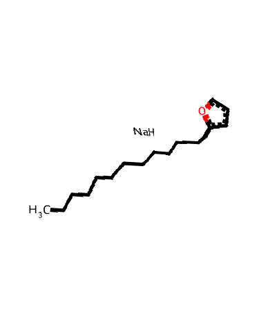 CCCCCCCCCCCCc1ccco1.[NaH]